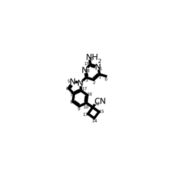 Cc1cc(-n2ncc3ccc(C4(C#N)CCC4)cc32)nc(N)n1